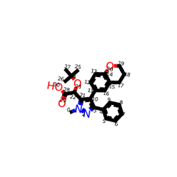 Cn1nc(-c2ccccc2)c(-c2ccc3c(c2)CCCO3)c1C(OC(C)(C)C)C(=O)O